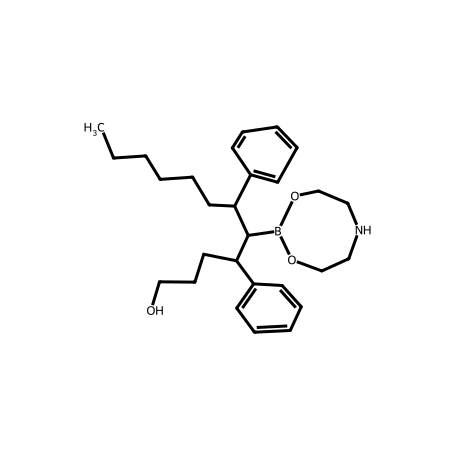 CCCCCCC(c1ccccc1)C(B1OCCNCCO1)C(CCCO)c1ccccc1